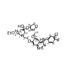 CCOC(=O)CN(CCOc1cc2ncnc(Nc3ccc(F)c(Cl)c3)c2cc1OC[C@@H]1CCCO1)CC(C)(C)O